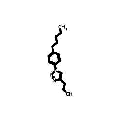 CCCCCc1ccc(-n2cc(CCO)nn2)cc1